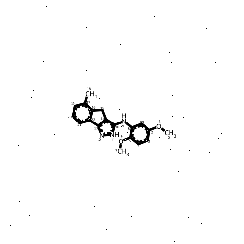 COc1ccc(OC)c(Nc2[nH]nc3c2Cc2c(C)cccc2-3)c1